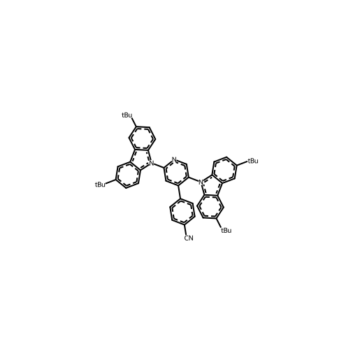 CC(C)(C)c1ccc2c(c1)c1cc(C(C)(C)C)ccc1n2-c1cc(-c2ccc(C#N)cc2)c(-n2c3ccc(C(C)(C)C)cc3c3cc(C(C)(C)C)ccc32)cn1